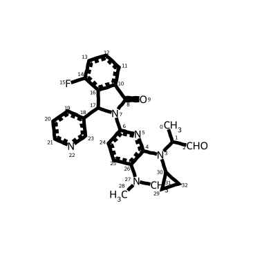 CC(C=O)N(c1nc(N2C(=O)c3cccc(F)c3C2c2cccnc2)ccc1N(C)C)C1CC1